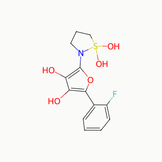 Oc1c(-c2ccccc2F)oc(N2CCCS2(O)O)c1O